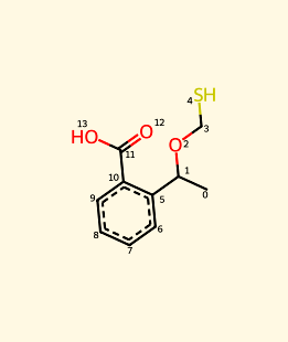 CC(OCS)c1ccccc1C(=O)O